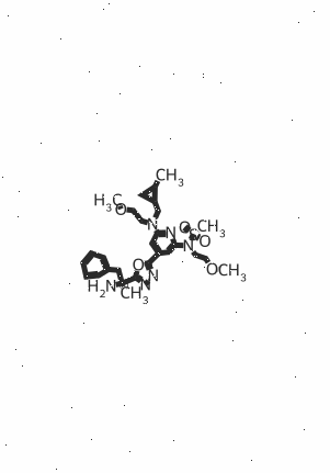 COCCN(CC1CC1C)c1cc(-c2nnc([C@](C)(N)Cc3ccccc3)o2)cc(N(CCOC)S(C)(=O)=O)n1